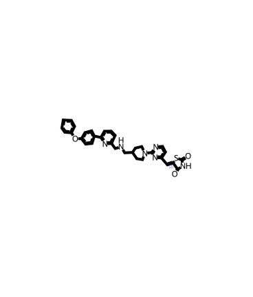 O=C1NC(=O)/C(=C/c2ccnc(N3CCC(CNCc4cccc(-c5ccc(Oc6ccccc6)cc5)n4)CC3)n2)S1